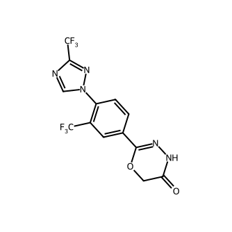 O=C1COC(c2ccc(-n3cnc(C(F)(F)F)n3)c(C(F)(F)F)c2)=NN1